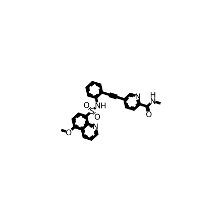 CNC(=O)c1ccc(C#Cc2ccccc2NS(=O)(=O)c2ccc(OC)c3cccnc23)cn1